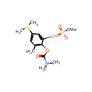 COS(=O)(=O)[O-].Cc1cc([S+](C)C)cc(Cl)c1OC(=O)N(C)C